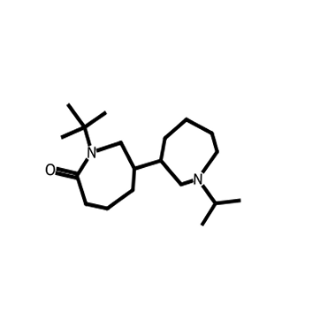 CC(C)N1CCCCC(C2CCCC(=O)N(C(C)(C)C)C2)C1